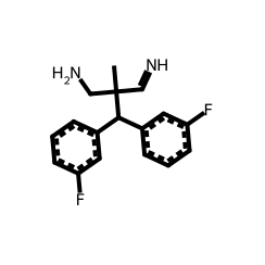 CC(C=N)(CN)C(c1cccc(F)c1)c1cccc(F)c1